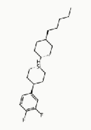 CCCCC[C@H]1CC[C@H]([Si@H]2CC[C@H](c3ccc(F)c(F)c3)CC2)CC1